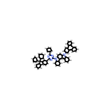 c1ccc(-c2nc(-c3ccc4c(c3)C(c3ccccc3)(c3ccccc3)c3ccccc3-4)nc(-n3c4ccccc4c4c5c6ccccc6n(-c6ccc7c8ccccc8c8ccccc8c7c6)c5ccc43)n2)cc1